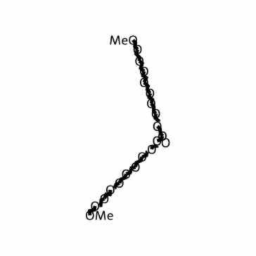 COCCOCCOCCOCCOCCOCCOCCOCCOCCOC(=O)OCCOCCOCCOCCOCCOCCOCCOCCOCCOC